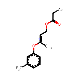 CC(=O)CC(=O)OC/C=C(\C)Oc1cccc(C(F)(F)F)c1